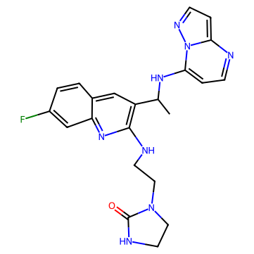 CC(Nc1ccnc2ccnn12)c1cc2ccc(F)cc2nc1NCCN1CCNC1=O